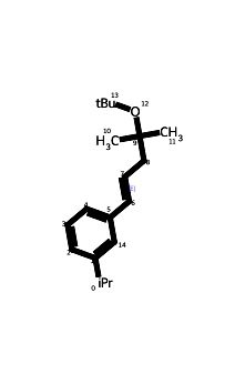 CC(C)c1cccc(/C=C/CC(C)(C)OC(C)(C)C)c1